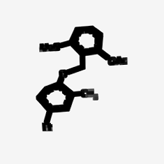 CCc1ccc(OCc2c(OC(C)=O)cccc2SC)c(C)c1